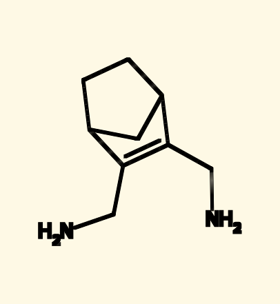 NCC1=C(CN)C2CCC1C2